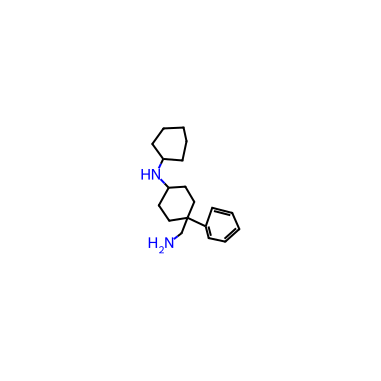 NCC1(c2ccccc2)CCC(NC2CCCCC2)CC1